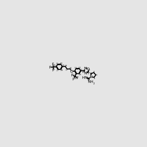 N=C(N)N1CCC[C@H]1c1nc(-c2ccc(OCCCc3ccc(C(F)(F)F)cc3)c(C(F)(F)F)c2)no1